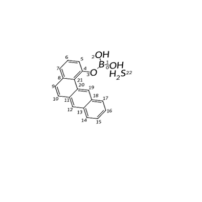 OB(O)Oc1cccc2ccc3cc4ccccc4cc3c12.S